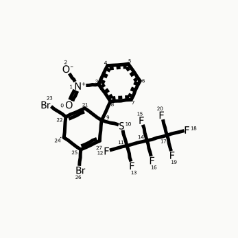 O=[N+]([O-])c1ccccc1C1(SC(F)(F)C(F)(F)C(F)(F)F)C=C(Br)[CH]C(Br)=C1